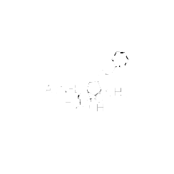 CC(=O)NC(=O)[C@@]12C[C@H](OCc3ccccc3)[C@@](C)(C1)OC2(C)C